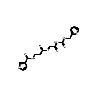 O=C(COC(=O)CCNC(=O)c1ccsc1)NC(=O)NCc1cccs1